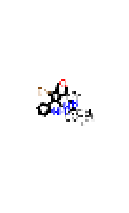 CCCc1nc(C)c(C(=O)OCC)n1Cc1c2ccocc-2c(Br)c1-c1ccccc1N